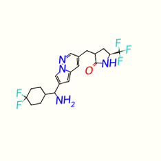 NC(c1cc2cc(CC3C[C@@H](C(F)(F)F)NC3=O)cnn2c1)C1CCC(F)(F)CC1